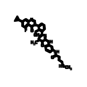 CNC/C=C/C(=O)Nc1cccc(Nc2nc(-c3cccc(-n4cnc5cc(C6CC6)cc(F)c5c4=O)c3CO)cn(C)c2=O)c1